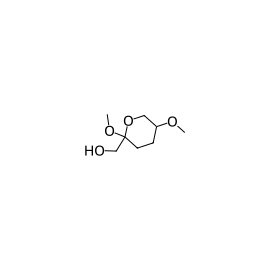 COC1CCC(CO)(OC)OC1